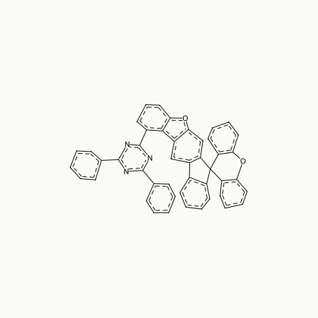 c1ccc(-c2nc(-c3ccccc3)nc(-c3cccc4oc5cc6c(cc5c34)-c3ccccc3C63c4ccccc4Oc4ccccc43)n2)cc1